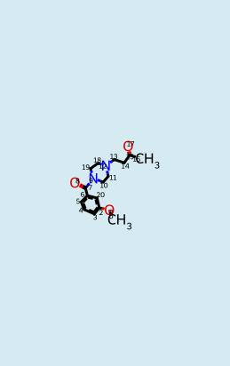 COc1cccc(C(=O)N2CCN(CCC(C)=O)CC2)c1